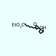 CCOC(=O)CCCCCCC1=CC(C2(O)CCCCO2)CC1=O